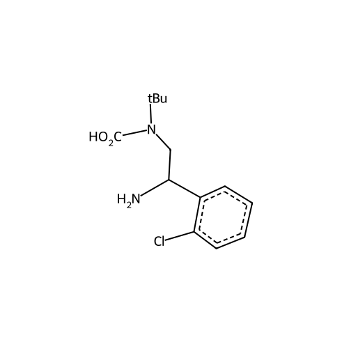 CC(C)(C)N(CC(N)c1ccccc1Cl)C(=O)O